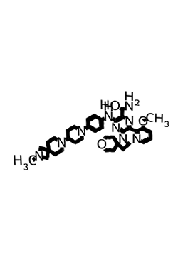 COc1cccnc1-c1nc(C(N)O)c(Nc2ccc(N3CCC(N4CCC5(CC4)CN(C)C5)CC3)cc2)nc1N1CCC12CCOCC2